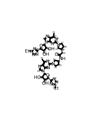 CCn1nnc([C@H]2O[C@@H](n3cnc4c(C)nc(N5CC[C@@H](CC(=O)N[C@@H]6CCN(c7nc(C)c8ncn([C@@H]9O[C@H](c%10nnn(CC)n%10)[C@@H](O)[C@H]9O)c8n7)C6)C5)nc43)[C@H](O)[C@@H]2O)n1